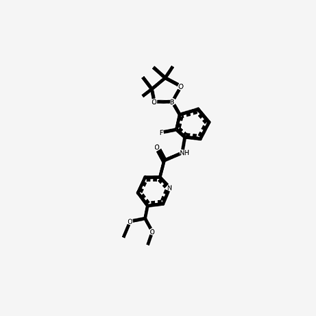 COC(OC)c1ccc(C(=O)Nc2cccc(B3OC(C)(C)C(C)(C)O3)c2F)nc1